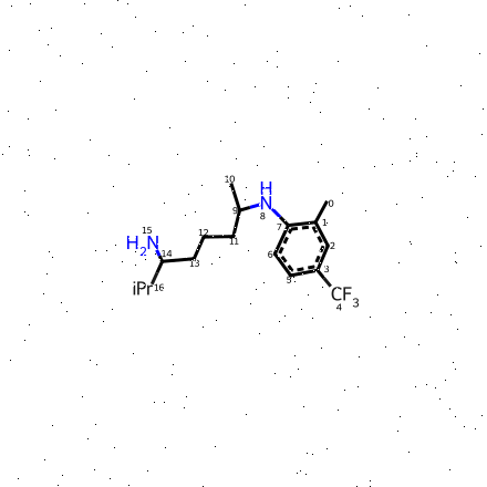 Cc1cc(C(F)(F)F)ccc1NC(C)CCCC(N)C(C)C